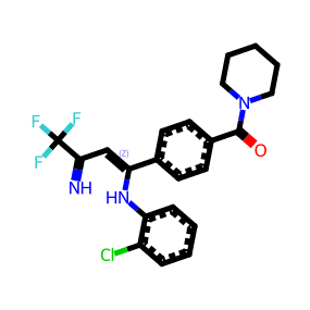 N=C(/C=C(\Nc1ccccc1Cl)c1ccc(C(=O)N2CCCCC2)cc1)C(F)(F)F